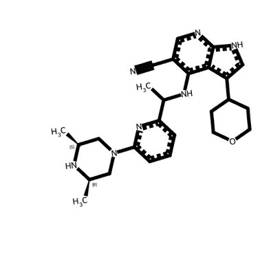 CC(Nc1c(C#N)cnc2[nH]cc(C3CCOCC3)c12)c1cccc(N2C[C@@H](C)N[C@@H](C)C2)n1